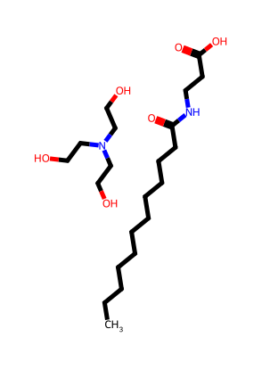 CCCCCCCCCCCC(=O)NCCC(=O)O.OCCN(CCO)CCO